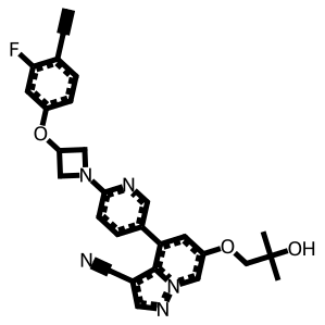 C#Cc1ccc(OC2CN(c3ccc(-c4cc(OCC(C)(C)O)cn5ncc(C#N)c45)cn3)C2)cc1F